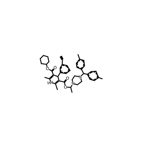 C#Cc1cccc(C2C(C(=O)OC3CCCCC3)=C(C)NC(C)=C2C(=O)OC(C)N2CCN(C(c3ccc(C)cc3)c3ccc(C)cc3)CC2)c1